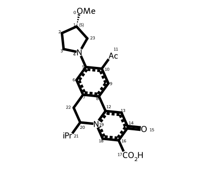 CO[C@H]1CCN(c2cc3c(cc2C(C)=O)-c2cc(=O)c(C(=O)O)cn2C(C(C)C)C3)C1